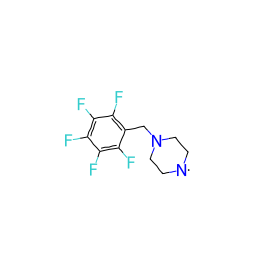 Fc1c(F)c(F)c(CN2CC[N]CC2)c(F)c1F